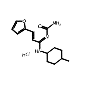 CC1CCC(NC(C=Cc2ccco2)=NC(N)=O)CC1.Cl